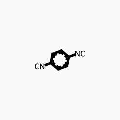 [C-]#[N+]c1ccc([N+]#[C-])cc1